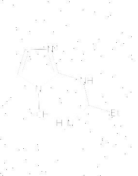 CCC(N)Nc1nccn1C